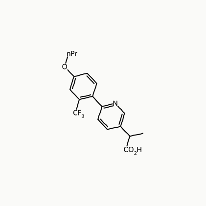 CCCOc1ccc(-c2ccc(C(C)C(=O)O)cn2)c(C(F)(F)F)c1